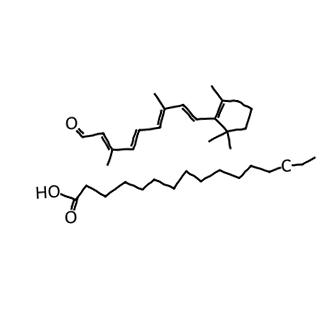 CC(C=CC=C(C)C=CC1=C(C)CCCC1(C)C)=CC=O.CCCCCCCCCCCCCCCC(=O)O